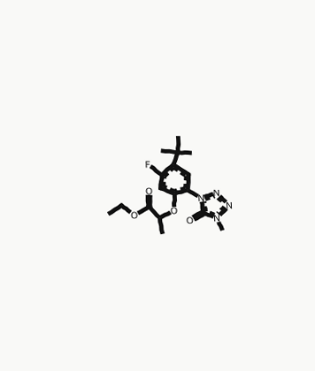 CCOC(=O)C(C)Oc1cc(F)c(C(C)(C)C)cc1-n1nnn(C)c1=O